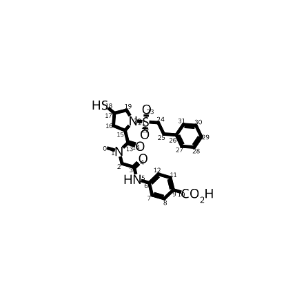 CN(CC(=O)Nc1ccc(C(=O)O)cc1)C(=O)C1CC(S)CN1S(=O)(=O)CCc1ccccc1